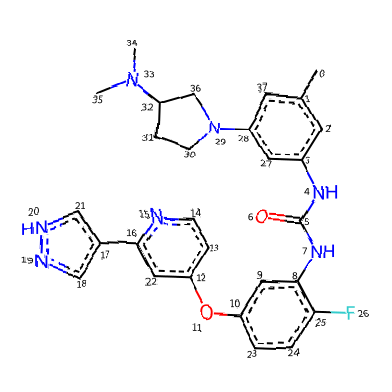 Cc1cc(NC(=O)Nc2cc(Oc3ccnc(-c4cn[nH]c4)c3)ccc2F)cc(N2CCC(N(C)C)C2)c1